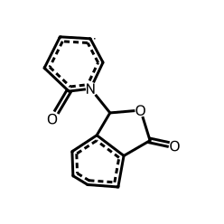 O=C1OC(n2c[c]ccc2=O)c2ccccc21